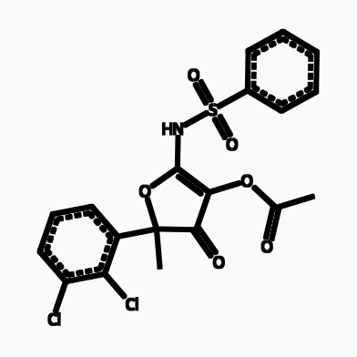 CC(=O)OC1=C(NS(=O)(=O)c2ccccc2)OC(C)(c2cccc(Cl)c2Cl)C1=O